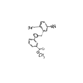 COC(=O)c1cccc(OCc2cc(C#N)ccc2Br)c1